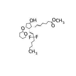 CCCCCC(F)(F)C=C[C@H]1[C@@H](CC=CCCCC(=O)OC)[C@H](O)C[C@H]1OC1CCCCO1